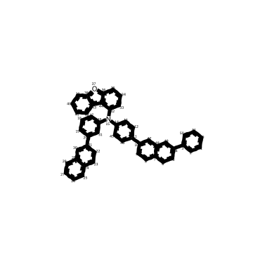 c1ccc(-c2ccc3ccc(-c4ccc(N(c5cccc(-c6ccc7ccccc7c6)c5)c5cccc6oc7ccccc7c56)cc4)cc3c2)cc1